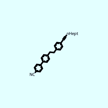 CCCCCCCC#Cc1ccc([CH]Cc2ccc(-c3ccc(C#N)cc3)cc2)cc1